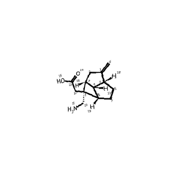 C=C1C[C@@H]2[C@@H]3[C@H]1CC[C@@H]3[C@@]2(CN)CC(=O)O